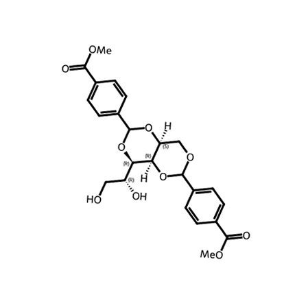 COC(=O)c1ccc(C2OC[C@@H]3OC(c4ccc(C(=O)OC)cc4)O[C@H]([C@H](O)CO)[C@@H]3O2)cc1